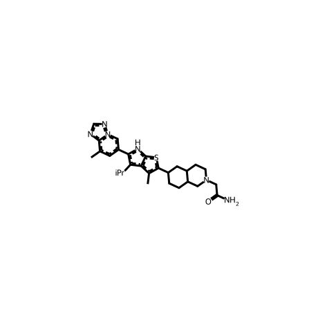 Cc1c(C2CCC3CN(CC(N)=O)CCC3C2)sc2[nH]c(-c3cc(C)c4ncnn4c3)c(C(C)C)c12